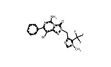 Cn1cnc(Cn2nc3c(Br)c(-c4ccccc4)nc(N)n3c2=O)c1C(F)(F)F